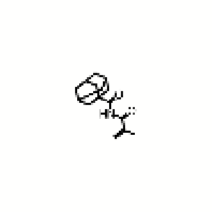 C=C(C)C(=O)NC(=O)C12CC3CC(CC(C3)C1)C2